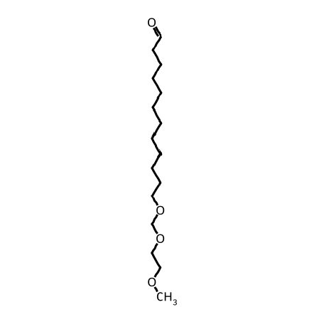 COCCOCOCCCCCCCCCCCC=O